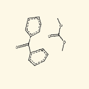 COC(=O)OC.O=C(c1ccccc1)c1ccccc1